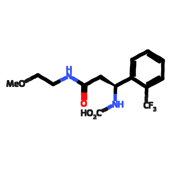 COCCNC(=O)C[C@H](NC(=O)O)c1ccccc1C(F)(F)F